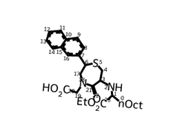 CCCCCCCCC(NC1CSC(c2ccc3ccccc3c2)CN(CC(=O)O)C1=O)C(=O)OCC